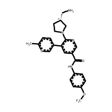 Cc1ccc(-c2cc(C(=O)Nc3ccc(OC(F)(F)F)cc3)cnc2N2CC[C@H](CN)C2)cn1